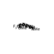 CNC(=O)c1ccc(N2CCN(C3C=C(c4ccc(C(F)(F)F)c(OC)n4)CC3)CC2)cn1